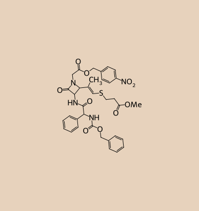 COC(=O)CCSC=C(C)C1C(NC(=O)C(NC(=O)OCc2ccccc2)c2ccccc2)C(=O)N1CC(=O)OCc1ccc([N+](=O)[O-])cc1